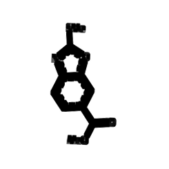 COC(=O)c1ccc2nc(SC)oc2c1